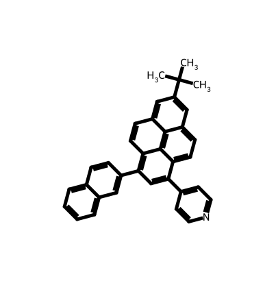 CC(C)(C)c1cc2ccc3c(-c4ccncc4)cc(-c4ccc5ccccc5c4)c4ccc(c1)c2c34